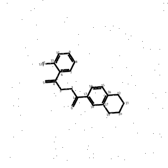 C=C(CCC(=C)c1ccccc1F)c1ccc2c(c1)CCCC2